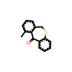 Cc1cccc2c1C(=O)c1ccccc1SC2